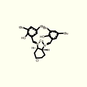 CC(C)(C)c1cc(C=[N+]2[Co][N+](=Cc3cc(C(C)(C)C)cc(C(C)(C)C)c3O)[C@@H]3CCCC[C@H]32)c(O)c(C(C)(C)C)c1.[Cl-]